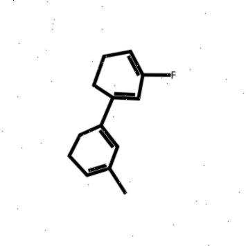 CC1=CCCC(C2=CC(F)=CCC2)=C1